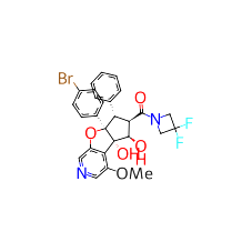 COc1cncc2c1[C@]1(O)[C@H](O)[C@H](C(=O)N3CC(F)(F)C3)[C@@H](c3ccccc3)[C@]1(c1ccc(Br)cc1)O2